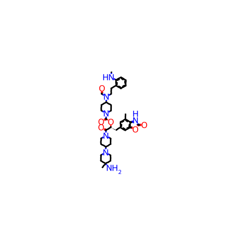 CNc1ccccc1CCN(C=O)C1CCN(C(=O)O[C@H](Cc2cc(C)c3[nH]c(=O)oc3c2)C(=O)N2CCC(N3CCC(C)(N)CC3)CC2)CC1